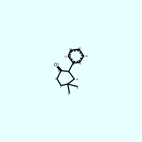 CC1(C)CCC(=O)C(c2ccccc2)C1